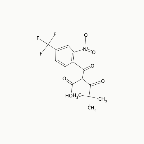 CC(C)(C)C(=O)C(C(=O)O)C(=O)c1ccc(C(F)(F)F)cc1[N+](=O)[O-]